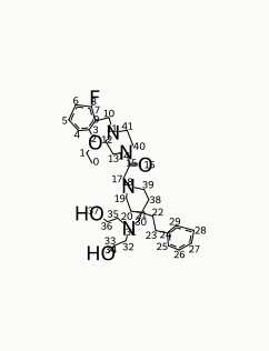 CCOc1cccc(F)c1CN1CCN(C(=O)CN2CCC(CCc3ccccc3)(CN(CCO)CCO)CC2)CC1